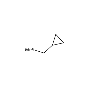 CS[CH]C1CC1